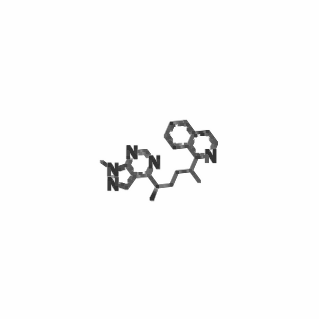 CC(CC[C@@H](C)c1ncnc2c1cnn2C)c1nccc2ccccc12